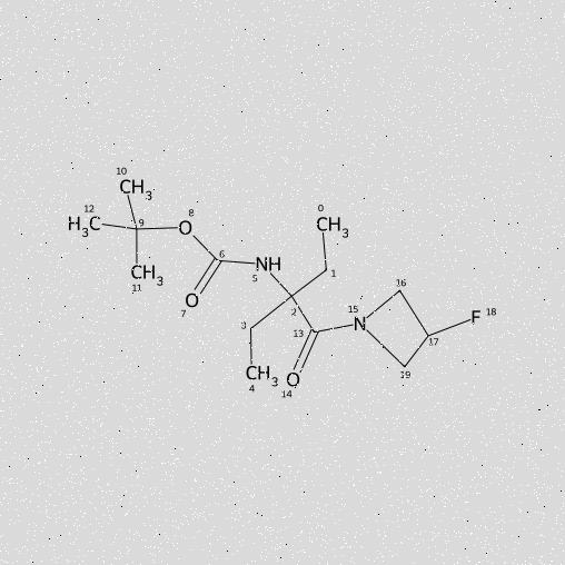 CCC(CC)(NC(=O)OC(C)(C)C)C(=O)N1CC(F)C1